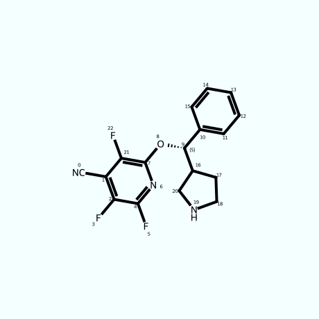 N#Cc1c(F)c(F)nc(O[C@H](c2ccccc2)C2CCNC2)c1F